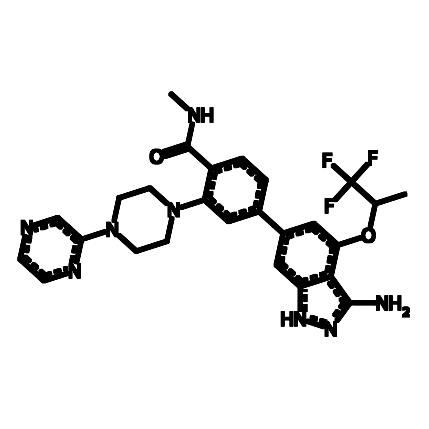 CNC(=O)c1ccc(-c2cc(OC(C)C(F)(F)F)c3c(N)n[nH]c3c2)cc1N1CCN(c2cnccn2)CC1